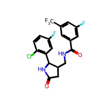 O=C1CC(CNC(=O)c2cc(F)cc(C(F)(F)F)c2)C(c2cc(F)ccc2Cl)N1